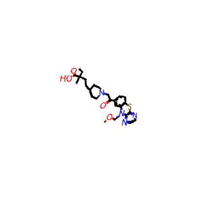 CCC(C)(CCC1CCN(CC(=O)c2ccc3c(c2)N(COC)c2nccnc2S3)CC1)C(=O)O